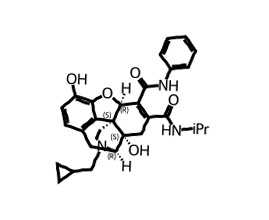 CC(C)NC(=O)C1=C(C(=O)Nc2ccccc2)[C@@H]2Oc3c(O)ccc4c3[C@@]23CCN(CC2CC2)[C@H](C4)[C@]3(O)C1